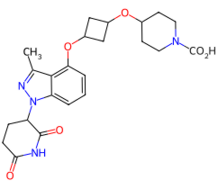 Cc1nn(C2CCC(=O)NC2=O)c2cccc(OC3CC(OC4CCN(C(=O)O)CC4)C3)c12